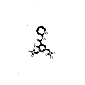 CCS(=O)(=O)Cc1cc(CS(=O)(=O)CC)c(C)c(C(=O)NC2=CC=CC=CN2)c1